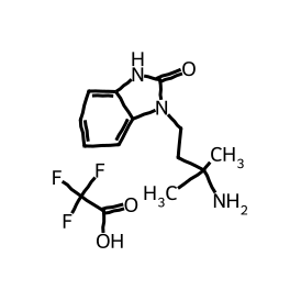 CC(C)(N)CCn1c(=O)[nH]c2ccccc21.O=C(O)C(F)(F)F